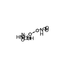 O=c1[nH]cnc(C[C@@H](CO)c2ccc(C#Cc3ccc(CN[C@@H]4CCS(=O)(=O)C4)cc3)cc2)c1O